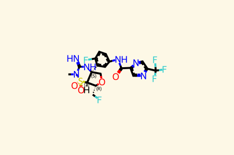 CN1C(=N)N[C@@]2(c3cc(NC(=O)c4cnc(C(F)(F)F)cn4)ccc3F)CO[C@H](CF)[C@H]2S1(=O)=O